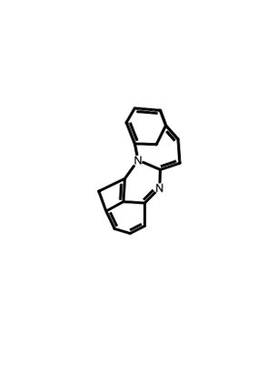 C1=CC2=CC=C3N=c4cccc5c4=C(C5)N3C(=C1)C2